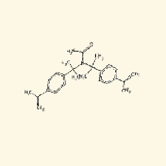 C=C(C)c1ccc(C(C)(C)N(C(N)=O)C(C)(C)c2ccc(C(=C)C)cc2)cc1